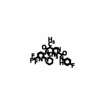 CC(C(=O)N(C)c1ccc(C(F)(F)F)nc1N1CCCCC1)c1cnc(C(=O)Nc2ccc(F)cc2)nc1